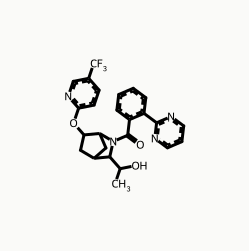 CC(O)C1C2CC(Oc3ccc(C(F)(F)F)cn3)C(C2)N1C(=O)c1ccccc1-c1ncccn1